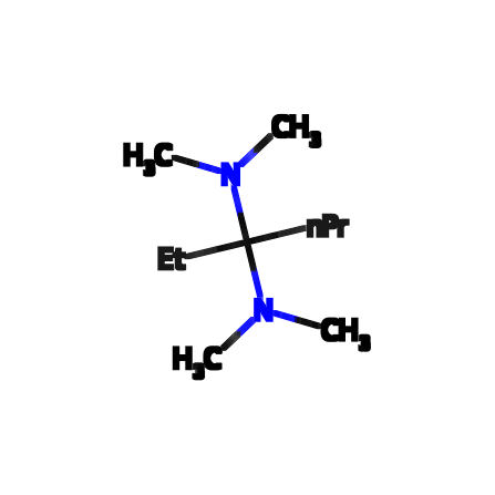 CCCC(CC)(N(C)C)N(C)C